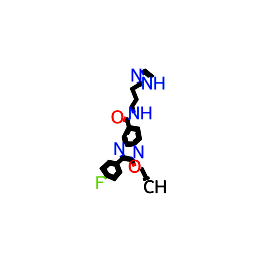 C#CCOc1nc2ccc(C(=O)NCCCc3ncc[nH]3)cc2nc1-c1ccc(F)cc1